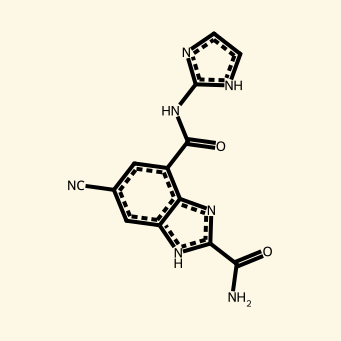 N#Cc1cc(C(=O)Nc2ncc[nH]2)c2nc(C(N)=O)[nH]c2c1